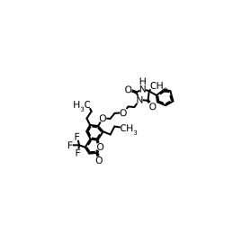 CCCc1cc2c(C(F)(F)F)cc(=O)oc2c(CCC)c1OCCOCCN1C(=O)NC(C)(c2ccccc2)C1=O